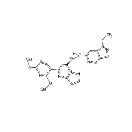 CC(C)(C)Oc1ncc(-c2cc([C@H]3C[C@@H]3c3cc4c(cn3)cnn4CC(F)(F)F)n3nccc3n2)c(OC(C)(C)C)n1